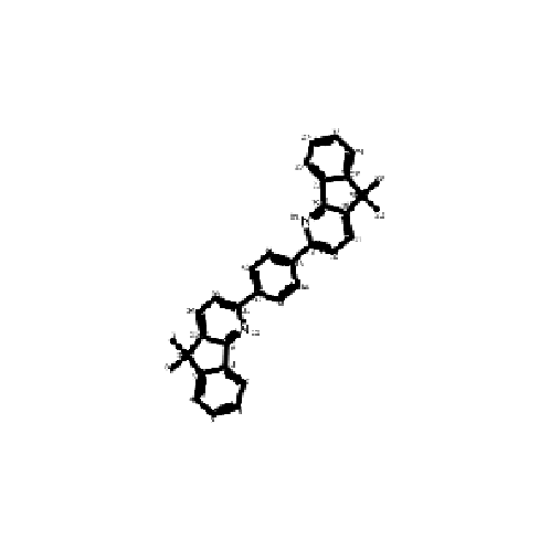 CC1(C)c2ccccc2-c2nc(-c3ccc(-c4ccc5c(n4)-c4ccccc4C5(C)C)cc3)ccc21